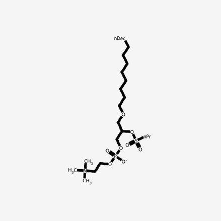 CCCCCCCCCCCCCCCCCCOCC(COP(=O)([O-])OCC[N+](C)(C)C)OS(=O)(=O)CCC